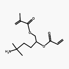 C=CC(=O)OC(CCC(C)(C)N)COC(=O)C(=C)C